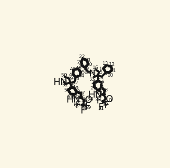 O=C(c1cc2cc(C3(Cc4ccccc4)CCN(Cc4ccccc4)C3)ccc2[nH]1)C(F)(F)F.O=C(c1cc2cc(C3(Cc4ccccc4)CCNC3)ccc2[nH]1)C(F)(F)F